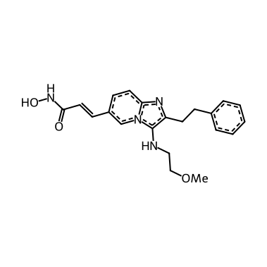 COCCNc1c(CCc2ccccc2)nc2ccc(C=CC(=O)NO)cn12